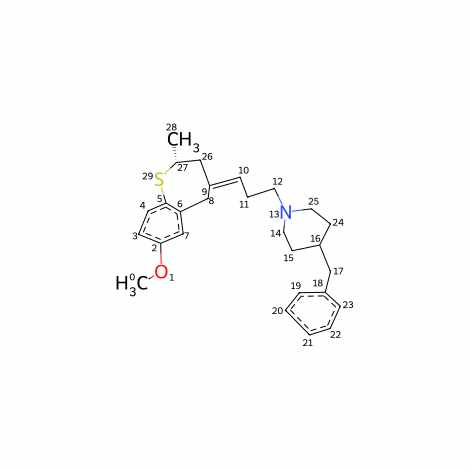 COc1ccc2c(c1)C/C(=C\CCN1CCC(Cc3ccccc3)CC1)C[C@@H](C)S2